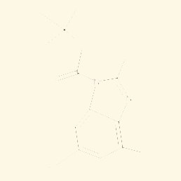 Cc1cc(Br)cc2c1nc(C)n2C(=O)OC(C)(C)C